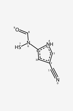 N#Cc1c[nH]c(N(S)C=O)c1